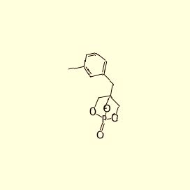 Cc1cccc(CC23COP(=O)(OC2)OC3)c1